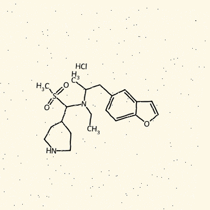 CCN(C(C)Cc1ccc2occc2c1)C(C1CCNCC1)S(C)(=O)=O.Cl